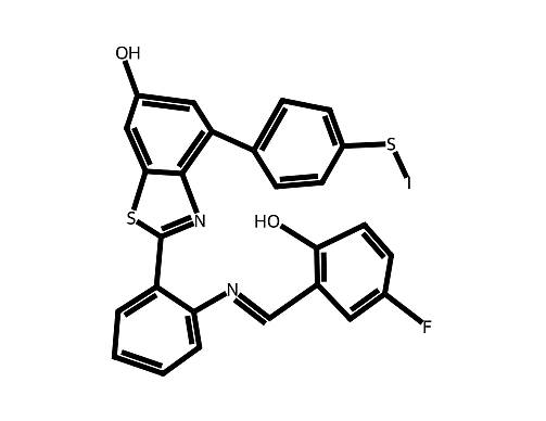 Oc1cc(-c2ccc(SI)cc2)c2nc(-c3ccccc3/N=C/c3cc(F)ccc3O)sc2c1